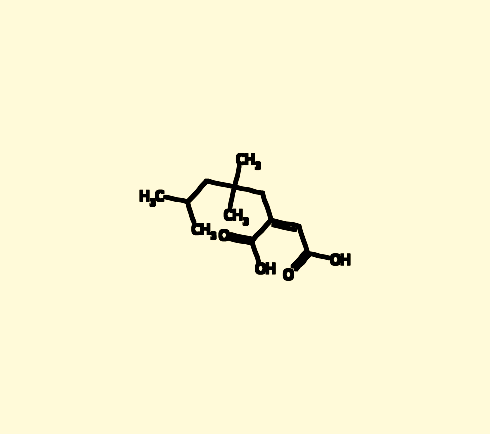 CC(C)CC(C)(C)CC(=CC(=O)O)C(=O)O